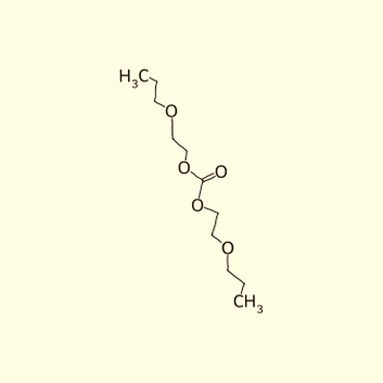 CCCOCCOC(=O)OCCOCCC